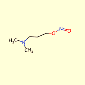 CN(C)CCCON=O